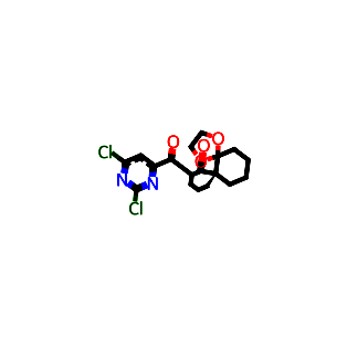 O=C(c1cc(Cl)nc(Cl)n1)C1CCC[C@@]2(CCCCC23OCCO3)C1=O